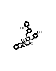 C=CCN1CC(=O)N2[C@@H](Cc3ccc(O)cc3)CN(Cc3cccc(-c4ccccc4O)c3)C[C@@H]2N1C(=O)NCc1ccccc1